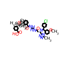 COc1ccc2c(c1)C(c1ccc(Cl)cc1)=N[C@@H](CC(=O)NCCNC(=O)c1cccc([Si](C)(C)O[Si](C)(C)c3cccc(C(=O)O)c3)c1)c1nnc(C)n1-2